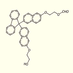 O=COCCOc1ccc2cc(C3(c4ccc5cc(OCCO)ccc5c4)c4ccccc4-c4ccccc43)ccc2c1